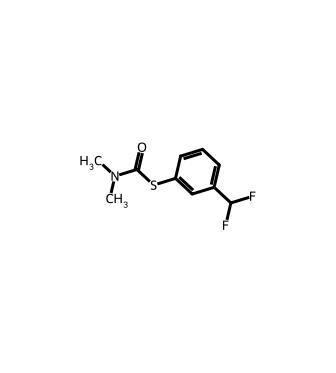 CN(C)C(=O)Sc1cccc(C(F)F)c1